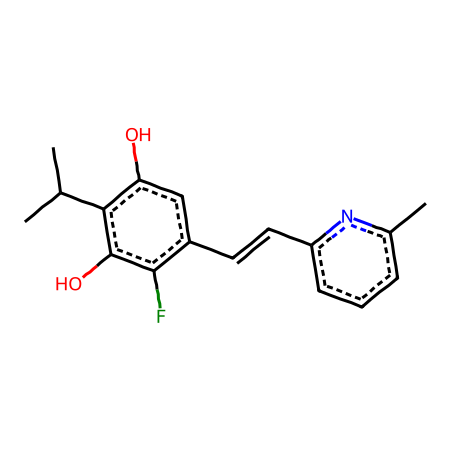 Cc1cccc(/C=C/c2cc(O)c(C(C)C)c(O)c2F)n1